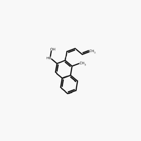 C=C/C=C\c1c(BO)cc2ccccc2c1C